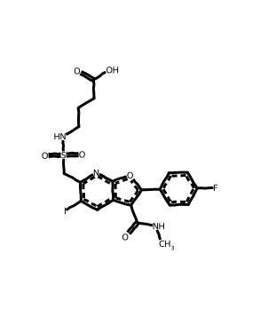 CNC(=O)c1c(-c2ccc(F)cc2)oc2nc(CS(=O)(=O)NCCCC(=O)O)c(I)cc12